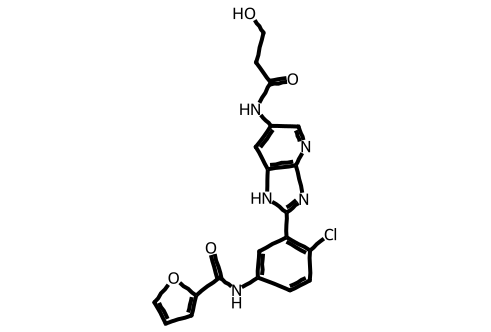 O=C(CCO)Nc1cnc2nc(-c3cc(NC(=O)c4ccco4)ccc3Cl)[nH]c2c1